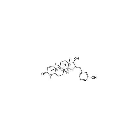 CN1C(=O)C=C[C@@]2(C)C1CC[C@@H]1[C@H]2CC[C@]2(C)C(O)C(=Cc3cccc(O)c3)C[C@@H]12